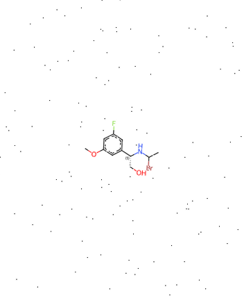 COc1cc(F)cc([C@@H](CO)NC(C)Br)c1